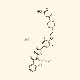 CCCCN(C(=O)c1ccccc1Cl)c1nnc(-c2cc(C)c(OCCC3CCC(N(C)CC(=O)O)CC3)c(C)c2)s1.Cl